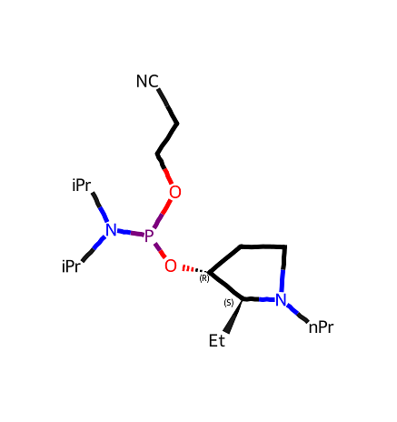 CCCN1CC[C@@H](OP(OCCC#N)N(C(C)C)C(C)C)[C@@H]1CC